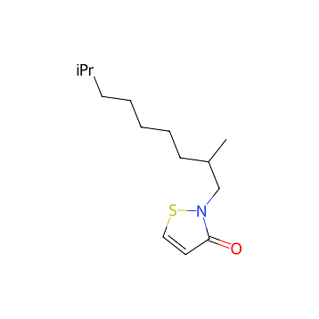 CC(C)CCCCCC(C)Cn1sccc1=O